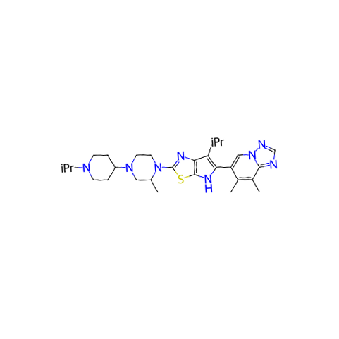 Cc1c(-c2[nH]c3sc(N4CCN(C5CCN(C(C)C)CC5)CC4C)nc3c2C(C)C)cn2ncnc2c1C